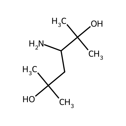 CC(C)(O)CC(N)C(C)(C)O